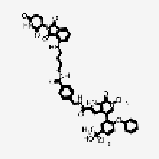 Cn1cc(-c2cc(C(C)(C)O)ccc2Oc2ccccc2)c2cc(C(=O)NCc3ccc(C(=O)NCCCCNc4cccc5c4C(=O)N(C4CCC(=O)NC4=O)C5=O)cc3)[nH]c2c1=O